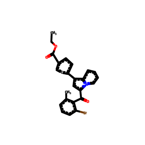 CCOC(=O)c1ccc(-c2cc(C(=O)c3c(C)cccc3Br)n3ccccc23)cc1